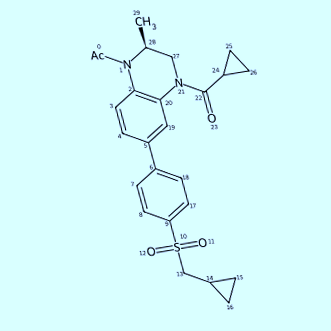 CC(=O)N1c2ccc(-c3ccc(S(=O)(=O)CC4CC4)cc3)cc2N(C(=O)C2CC2)C[C@@H]1C